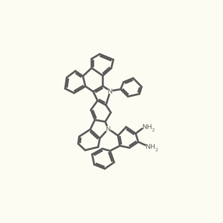 Nc1cc(-c2ccccc2)c(N2C3=C(C=CCC3)C3=Cc4c(n(-c5ccccc5)c5c6ccccc6c6ccccc6c45)CC32)cc1N